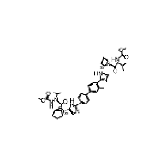 COC(=O)NC(C(=O)N1CCC[C@H]1c1cnc(-c2ccc(-c3ccc(-c4ncc([C@@H]5C6CCC(C6)[C@H]5C(=O)N(NC(=O)OC)C(C)C)[nH]4)cc3)cc2C)[nH]1)C(C)C